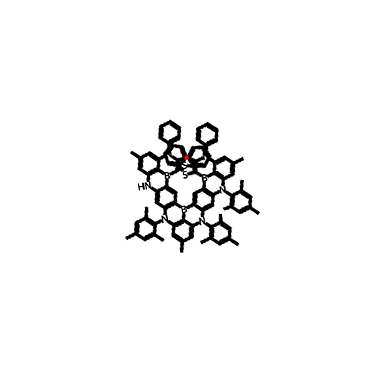 Cc1cc(C)c(N2c3cc4c(cc3B3c5cc6c(cc5N(c5c(C)cc(C)cc5C)c5cc(C)cc2c53)N(c2c(C)cc(C)cc2C)c2cc(C)cc3c2B6c2sc5ccccc5c2N3c2ccccc2)B2c3sc5ccccc5c3N(c3ccccc3)c3cc(C)cc(c32)N4)c(C)c1